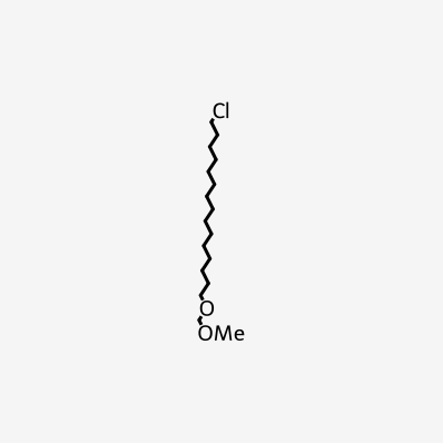 COCOCCCCCCCCCCCCCCCCl